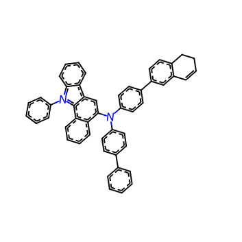 C1=Cc2cc(-c3ccc(N(c4ccc(-c5ccccc5)cc4)c4cc5c6ccccc6n(-c6ccccc6)c5c5ccccc45)cc3)ccc2CC1